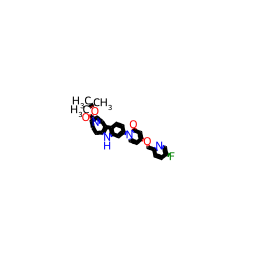 CC(C)(C)OC(=O)N1C2CCC1c1c([nH]c3cc(-n4ccc(OCc5ccc(F)cn5)cc4=O)ccc13)C2